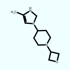 CC1=CN(C2CCN(C3COC3)CC2)CN1